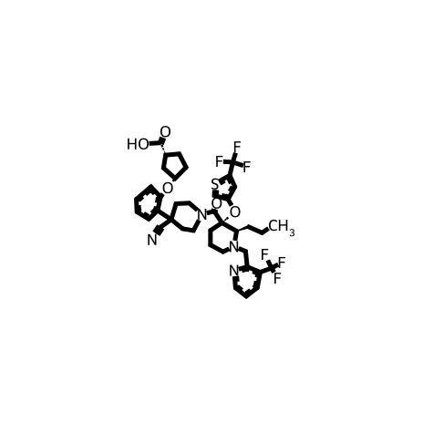 CCC[C@H]1N(Cc2ncccc2C(F)(F)F)CCC[C@@]1(Oc1csc(C(F)(F)F)c1)C(=O)N1CCC(C#N)(c2ccccc2O[C@H]2CC[C@@H](C(=O)O)C2)CC1